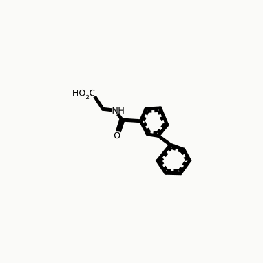 O=C(O)CNC(=O)c1cccc(-c2ccccc2)c1